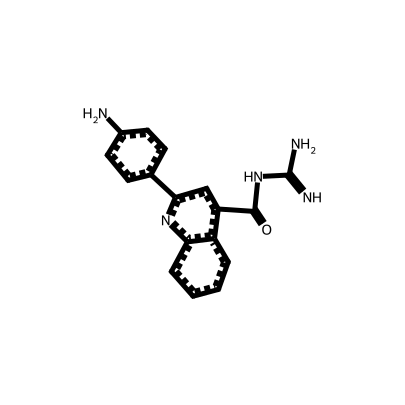 N=C(N)NC(=O)c1cc(-c2ccc(N)cc2)nc2ccccc12